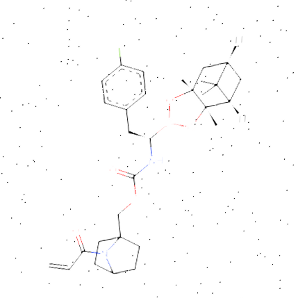 C=CC(=O)N1C2CCC1(COC(=O)N[C@@H](Cc1ccc(F)cc1)B1O[C@@H]3C[C@@H]4C[C@@H](C4(C)C)[C@]3(C)O1)CC2